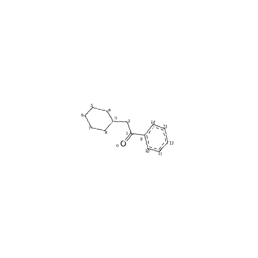 O=C(CC1CCCCC1)c1cc[c]cc1